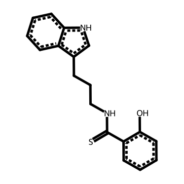 Oc1ccccc1C(=S)NCCCc1c[nH]c2ccccc12